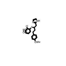 COc1ccc(CCC(Cc2ncc[nH]2)Sc2ccccc2Cl)cc1.O=[N+]([O-])O